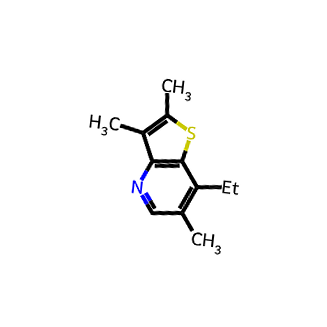 CCc1c(C)cnc2c(C)c(C)sc12